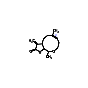 C=C1C(=O)OC2C(C)OCC/C=C(/C)CCC12